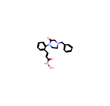 O=C(/C=C/c1ccccc1N1CCN(Cc2ccccc2)CC1=O)NO